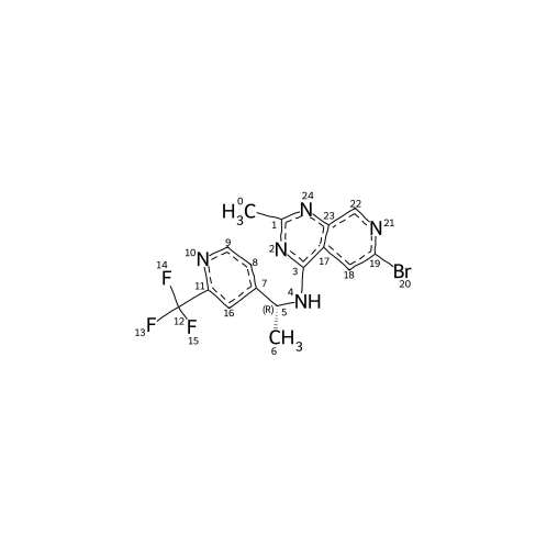 Cc1nc(N[C@H](C)c2ccnc(C(F)(F)F)c2)c2cc(Br)ncc2n1